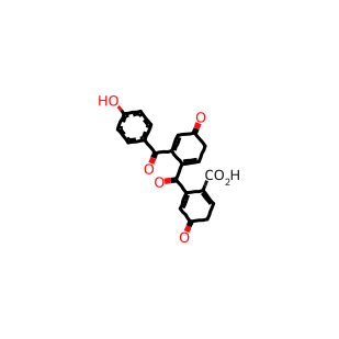 O=C1C=C(C(=O)C2=CCC(=O)C=C2C(=O)c2ccc(O)cc2)C(C(=O)O)=CC1